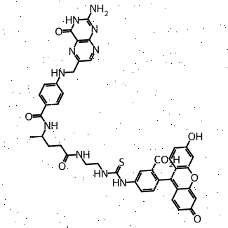 C[C@H](CCC(=O)NCCNC(=S)Nc1ccc(-c2c3ccc(=O)cc-3oc3cc(O)ccc23)c(C(=O)O)c1)NC(=O)c1ccc(NCc2cnc3nc(N)[nH]c(=O)c3n2)cc1